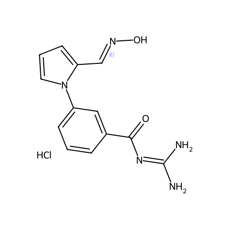 Cl.NC(N)=NC(=O)c1cccc(-n2cccc2/C=N/O)c1